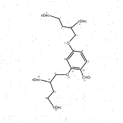 CCCCCCCCCCCCC(CCCCCCCCCC)COc1ccc([C]=O)c(OCC(CCCCCCCCCC)CCCCCCCCCCCC)c1